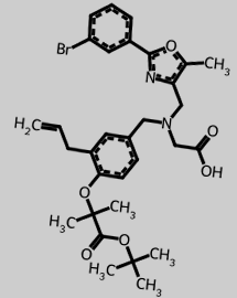 C=CCc1cc(CN(CC(=O)O)Cc2nc(-c3cccc(Br)c3)oc2C)ccc1OC(C)(C)C(=O)OC(C)(C)C